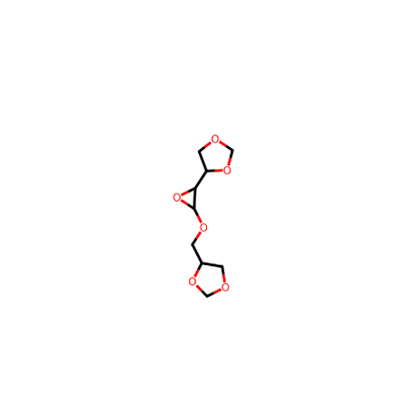 C1OCC(COC2OC2C2COCO2)O1